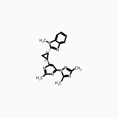 Cc1nc([C@H]2C[C@@H]2c2nc3ccccc3n2C)cc(-n2nc(C)nc2C)n1